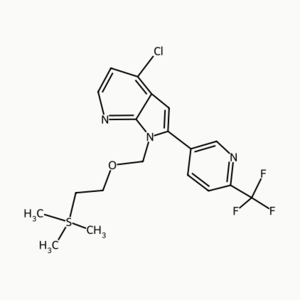 CS(C)(C)CCOCn1c(-c2ccc(C(F)(F)F)nc2)cc2c(Cl)ccnc21